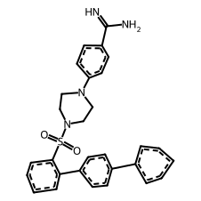 N=C(N)c1ccc(N2CCN(S(=O)(=O)c3ccccc3-c3ccc(-c4ccccc4)cc3)CC2)cc1